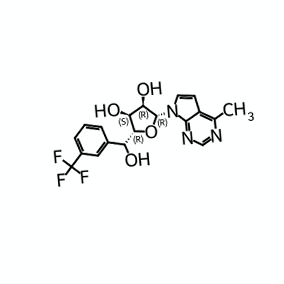 Cc1ncnc2c1ccn2[C@@H]1O[C@H](C(O)c2cccc(C(F)(F)F)c2)[C@@H](O)[C@H]1O